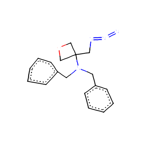 [N-]=[N+]=NCC1(N(Cc2ccccc2)Cc2ccccc2)COC1